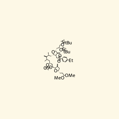 C=C1C[C@H](CCC(OC)OC)O[C@H]1CC[C@H](CC(C)C(=C)[C@@H](C)C[C@@H]1O[C@H](CC(CO[Si](C)(C)C(C)(C)C)O[Si](C)(C)C(C)(C)C)C(=C)[C@H]1CS(=O)(=O)c1ccc(CC)cc1)OS(C)(=O)=O